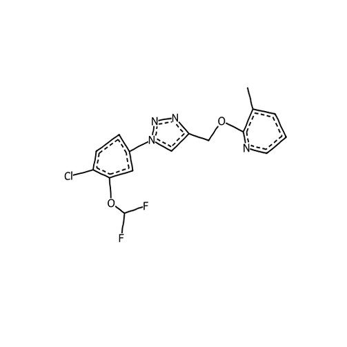 Cc1cccnc1OCc1cn(-c2ccc(Cl)c(OC(F)F)c2)nn1